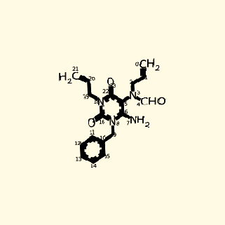 C=CCN(C=O)c1c(N)n(Cc2ccccc2)c(=O)n(CC=C)c1=O